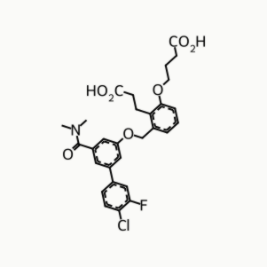 CN(C)C(=O)c1cc(OCc2cccc(OCCCC(=O)O)c2CCC(=O)O)cc(-c2ccc(Cl)c(F)c2)c1